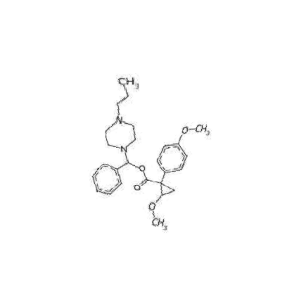 CCCN1CCN(C(OC(=O)C2(c3ccc(OC)cc3)CC2OC)c2ccccc2)CC1